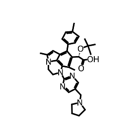 Cc1ccc(-c2c([C@H](OC(C)(C)C)C(=O)O)c(C)c3c4c2cc(C)n4CCN3c2ncc(CN3CCCC3)cn2)cc1